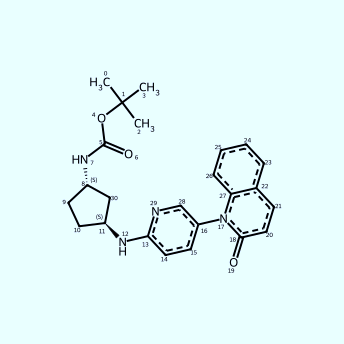 CC(C)(C)OC(=O)N[C@H]1CC[C@H](Nc2ccc(-n3c(=O)ccc4ccccc43)cn2)C1